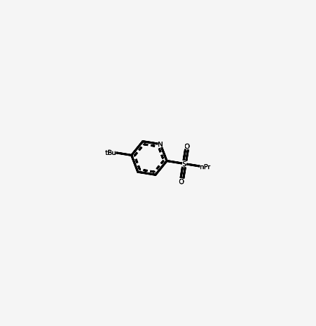 CCCS(=O)(=O)c1ccc(C(C)(C)C)cn1